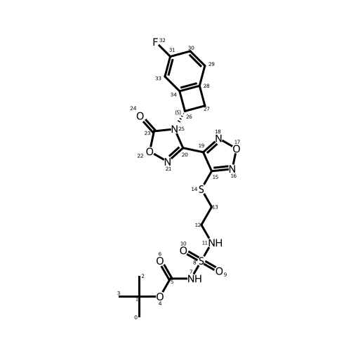 CC(C)(C)OC(=O)NS(=O)(=O)NCCSc1nonc1-c1noc(=O)n1[C@H]1Cc2ccc(F)cc21